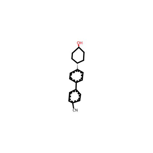 N#Cc1ccc(-c2ccc([C@H]3CC[C@H](O)CC3)cc2)cc1